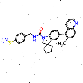 Cc1ccc2ncccc2c1-c1ccc2c(c1)C1(CCCC1)CN2C(=O)NCc1ccc(SN)cc1